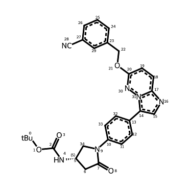 CC(C)(C)OC(=O)N[C@H]1CC(=O)N(c2ccc(-c3cnc4ccc(OCc5cccc(C#N)c5)nn34)cc2)C1